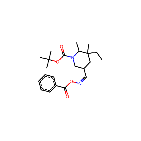 CCC1(C)CC(/C=N\OC(=O)c2ccccc2)CN(C(=O)OC(C)(C)C)C1C